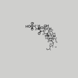 CCC[C@@H](C)[C@H]1CC[C@H]2[C@@H]3CC[C@@H]4CC(O)(O)C(C(=O)NCCS(=O)(=O)O)C[C@]4(C)[C@H]3CC[C@]12C